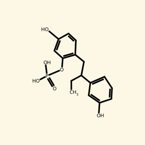 CCC(Cc1ccc(O)cc1OP(=O)(O)O)c1cccc(O)c1